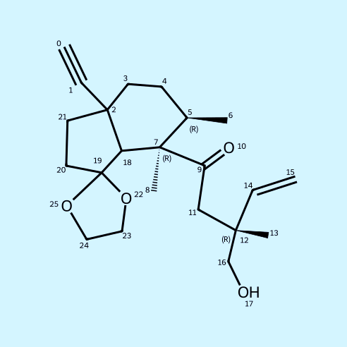 C#CC12CC[C@@H](C)[C@@](C)(C(=O)C[C@](C)(C=C)CO)C1C1(CC2)OCCO1